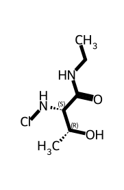 CCNC(=O)[C@@H](NCl)[C@@H](C)O